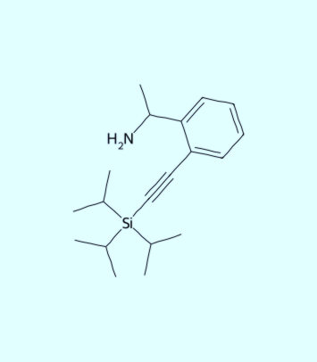 CC(N)c1ccccc1C#C[Si](C(C)C)(C(C)C)C(C)C